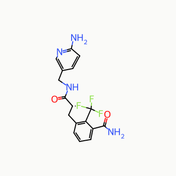 NC(=O)c1cccc(C[CH]C(=O)NCc2ccc(N)nc2)c1C(F)(F)F